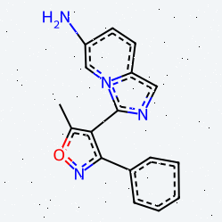 Cc1onc(-c2ccccc2)c1-c1ncc2ccc(N)cn12